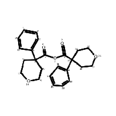 O=C(OC(=O)C1(c2ccccc2)CCOCC1)C1(c2ccccc2)CCOCC1